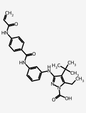 C=CC(=O)Nc1ccc(C(=O)Nc2cccc(Nc3nn(C(=O)O)c(CC)c3C(C)(C)C)c2)cc1